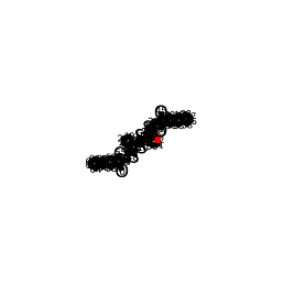 O=C1C(=Cc2cc3c(s2)-c2sc4c5c(sc4c2C32CCCCC2)-c2sc(C=C3C(=O)c4cc6cc7ccccc7cc6cc4C3=O)cc2C52CCCCC2)C(=O)c2cc3cc4ccccc4cc3cc21